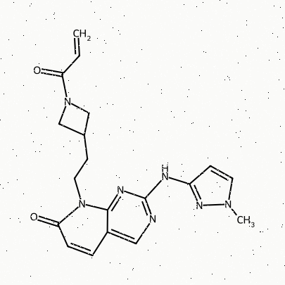 C=CC(=O)N1CC(CCn2c(=O)ccc3cnc(Nc4ccn(C)n4)nc32)C1